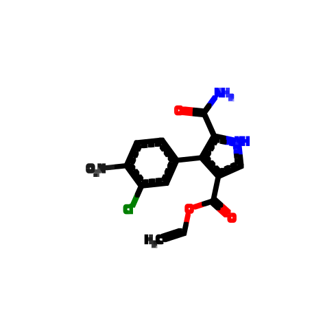 C=COC(=O)c1c[nH]c(C(N)=O)c1-c1ccc([N+](=O)[O-])c(Cl)c1